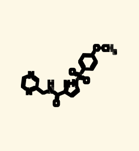 COc1ccc(S(=O)(=O)n2ccc(C(=O)NCc3cnccn3)n2)cc1